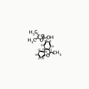 CCC(C)OP(=O)(O)c1ccc(C(C)=O)c(-c2ccccc2)c1